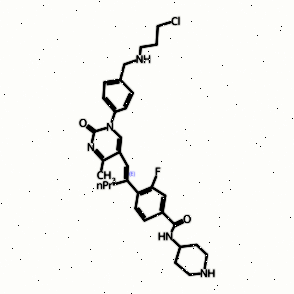 CCC/C(=C\c1cn(-c2ccc(CNCCCCl)cc2)c(=O)nc1C)c1ccc(C(=O)NC2CCNCC2)cc1F